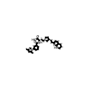 Cc1cc(C)n(-c2cccc(C(=O)N[C@@H](CCN3CC[C@@H](CCc4ccc5c(n4)NCCC5)C3)C(=O)O)c2)n1